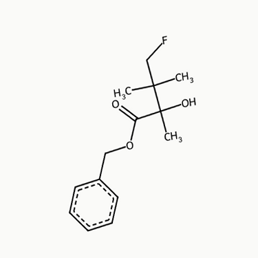 CC(C)(CF)C(C)(O)C(=O)OCc1ccccc1